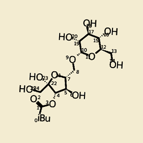 CCC(C)C(=O)O[C@H]1[C@H](O)[C@@H](CO[C@H]2O[C@H](CO)[C@@H](O)[C@H](O)[C@H]2O)O[C@]1(O)CO